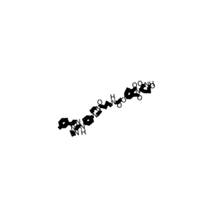 Cc1cccc(-c2cnc(Nc3ccc(N4CCN(C(=O)CCCNC(=O)COc5ccc6c(c5)C(=O)N(C5CCC(=O)NC5=O)C6=O)CC4)cc3)c3nccn23)c1